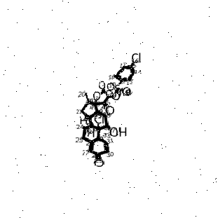 COC(=O)O[C@]1(C(=O)COS(=O)(=O)c2ccc(Cl)cc2)[C@H](C)C[C@H]2[C@@H]3CCC4=CC(=O)C=C[C@]4(C)[C@@]3(Cl)C(O)C[C@@]21C